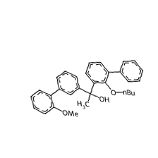 CCCCOc1c(-c2ccccc2)cccc1C(C)(O)c1cccc(-c2ccccc2OC)c1